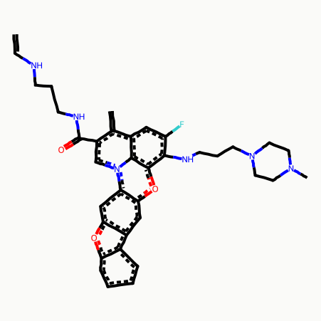 C=CNCCCNC(=O)c1cn2c3cc4oc5ccccc5c4cc3oc3c(NCCCN4CCN(C)CC4)c(F)cc(c3-2)c1=C